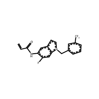 C=CC(=O)Nc1cc2ccn(Cc3cccc(C(F)(F)F)c3)c2cc1F